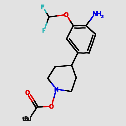 CC(C)(C)C(=O)ON1CCC(c2ccc(N)c(OC(F)F)c2)CC1